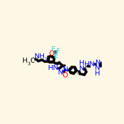 C[C@H](N)CCCc1cc(OC(F)(F)F)c(F)c(-c2cc3cn(-c4ccc([C@@H]5CCC[C@@H](CCNc6ncc[nH]6)N5)cc4)c(=O)nc3[nH]2)c1